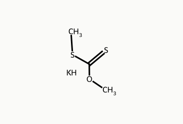 COC(=S)SC.[KH]